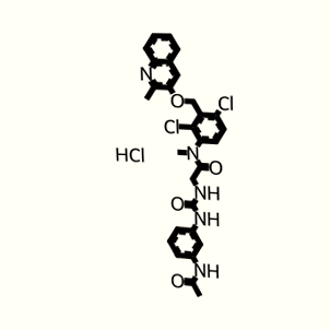 CC(=O)Nc1cccc(NC(=O)NCC(=O)N(C)c2ccc(Cl)c(COc3cc4ccccc4nc3C)c2Cl)c1.Cl